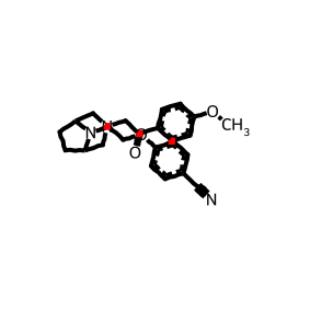 COc1ccc(C(=O)CN2CC3CCC(C2)N3CCOc2ccc(C#N)cc2)cc1